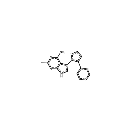 Cc1nc(N)c2c(-c3sccc3-c3ccccn3)c[nH]c2n1